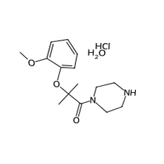 COc1ccccc1OC(C)(C)C(=O)N1CCNCC1.Cl.O